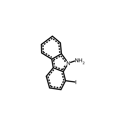 Nn1c2ccccc2c2cccc(I)c21